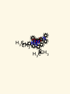 CC(C)CCc1ccc2c(c1)c1ccc3c4cc(CCC(C)C)ccc4n(-c4nc(-c5ccccc5)cc(-c5ccc6c(c5)c5ccccc5n6-c5ccccc5)n4)c3c1n2-c1cccc(-c2cccc(-c3ccccc3)n2)n1